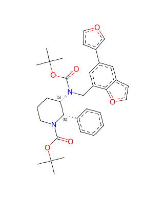 CC(C)(C)OC(=O)N(Cc1cc(-c2ccoc2)cc2ccoc12)[C@H]1CCCN(C(=O)OC(C)(C)C)[C@H]1c1ccccc1